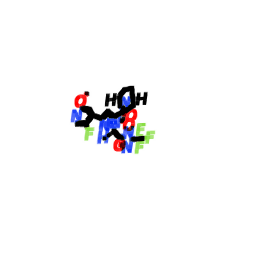 COc1cc(-c2cc(C(=O)N3[C@@H]4CC[C@H]3C[C@H](C(=O)N[C@H](C)c3nc(C(F)(F)F)no3)C4)n[nH]2)c(F)cn1